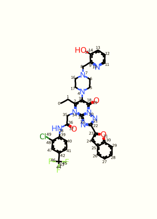 CCc1c(N2CCN(Cc3ncccc3O)CC2)c(=O)n2nc(-c3cc4ccccc4o3)nc2n1CC(=O)Nc1ccc(C(F)(F)F)cc1Cl